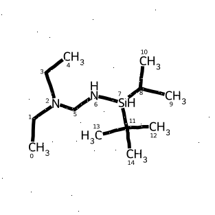 CCN(CC)CN[SiH](C(C)C)C(C)(C)C